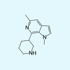 Cc1cc2ccn(C)c2c(C2CCCNC2)n1